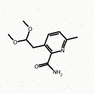 COC(Cc1ccc(C)nc1C(N)=O)OC